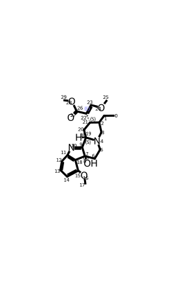 CCC1CN2CC[C@@]3(O)C(=Nc4cccc(OC)c43)[C@@H]2C[C@@H]1/C(=C\OC)C(=O)OC